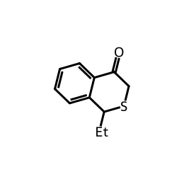 CCC1SCC(=O)c2ccccc21